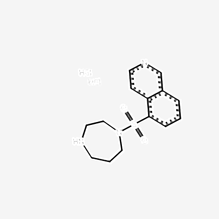 Cl.Cl.O=S(=O)(c1cccc2cnccc12)N1CCCNCC1